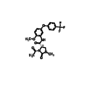 COc1ccc(Oc2ccc(C(F)(F)F)cc2)cc1NC(=O)[C@@H]1CN(C)C(=O)N1C(C)=O